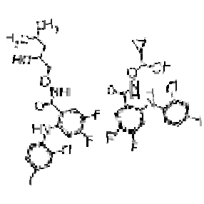 CC(C)CC(O)CONC(=O)c1cc(F)c(F)cc1Nc1ccc(I)cc1Cl.O=C(NOC(O)C1CC1)c1cc(F)c(F)cc1Nc1ccc(I)cc1Cl